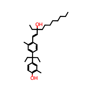 CCCCCCCCC(O)(/C=C/c1ccc(C(CC)(CC)c2ccc(O)c(C)c2)cc1C)CC